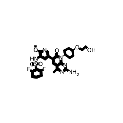 COc1ncc(-c2cc3c(C)nc(N)nc3n([C@H]3CC[C@H](OCCO)CC3)c2=O)cc1NS(=O)(=O)c1c(F)cccc1F